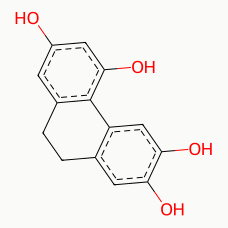 Oc1cc(O)c2c(c1)CCc1cc(O)c(O)cc1-2